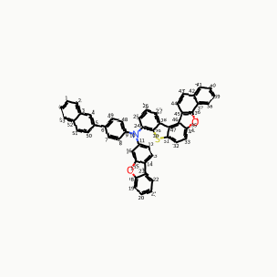 c1ccc2cc(-c3ccc(N(c4ccc5c(c4)oc4ccccc45)c4cccc5c4sc4ccc6oc7c8ccccc8ccc7c6c45)cc3)ccc2c1